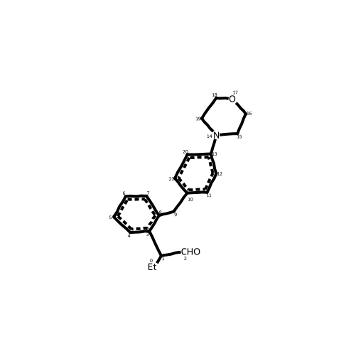 CCC(C=O)c1ccccc1Cc1ccc(N2CCOCC2)cc1